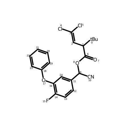 CC(C)(C)C(C=C(Cl)Cl)C(=O)OC(C#N)c1ccc(F)c(Oc2ccccc2)c1